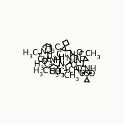 CC(C)N1CCCC[C@H]1C(=O)N[C@H](C(=O)N[C@H](C(=O)N1C[C@]2(CC1C(=O)NC1(C(=O)NS(=O)(=O)C3CC3)CC1(C)C)C(C)(C)C21CCC1)C(C)(C)C)C(C)(C)C